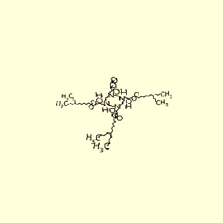 CCCCC(CCCC)CCCCCCC(=O)OCC(O)CN1CCCN(CC(O)COC(=O)CCCCCCC(CCCC)CCCC)CCN(CC(O)COC(=O)CCCCCCC(CCCC)CCCC)CCCN(CC(O)COC=O)CC1